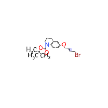 CC(C)(C)OC(=O)N1CCCc2cc(OC/C=C/CBr)ccc21